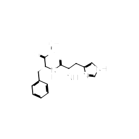 COC(=O)[C@H](Cc1ccccc1)NC(=O)[C@@H](N)Cc1c[nH]cn1